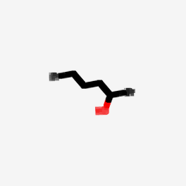 CC(C)CCCC(O)C(C)C